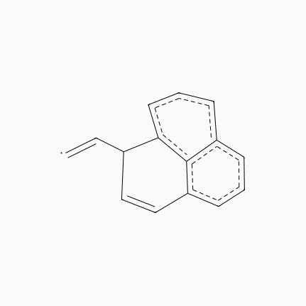 [CH]=CC1C=Cc2cccc3cccc1c23